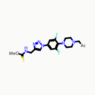 COC(=S)NCc1cn(-c2cc(F)c(N3CCN(CC(C)=O)CC3)c(F)c2)nn1